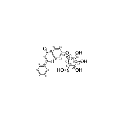 O=c1cc(-c2ccccc2)oc2cc(O[C@@H]3O[C@H](CO)[C@@H](O)[C@H](O)[C@H]3O)ccc12